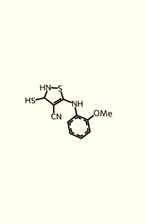 COc1ccccc1NC1=C(C#N)C(S)NS1